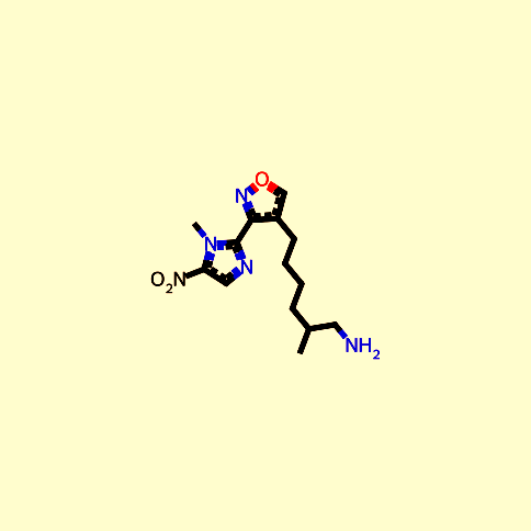 CC(CN)CCCCc1conc1-c1ncc([N+](=O)[O-])n1C